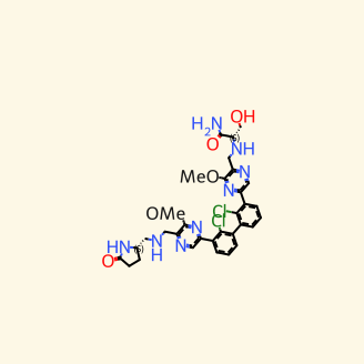 COc1nc(-c2cccc(-c3cccc(-c4cnc(CN[C@@H](CO)C(N)=O)c(OC)n4)c3Cl)c2Cl)cnc1CNC[C@@H]1CCC(=O)N1